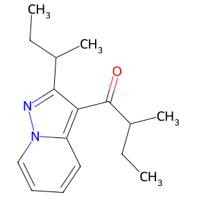 CCC(C)C(=O)c1c(C(C)CC)nn2ccccc12